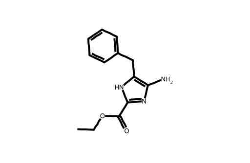 CCOC(=O)c1nc(N)c(Cc2ccccc2)[nH]1